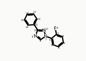 Fc1ccccc1-n1cnc(-c2ccccc2)n1